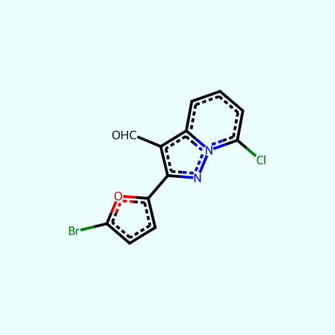 O=Cc1c(-c2ccc(Br)o2)nn2c(Cl)cccc12